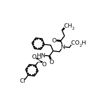 C=CCC(=O)N(CC(=O)O)CC(Cc1ccccc1)C(=O)NS(=O)(=O)c1ccc(Cl)cc1